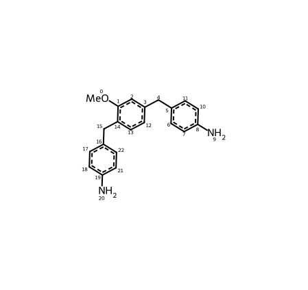 COc1cc(Cc2ccc(N)cc2)ccc1Cc1ccc(N)cc1